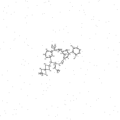 Cc1cccc(C)c1-c1cc2nc(n1)NS(=O)(=O)c1cccc(c1)C(C1CC3(CNC3)C1)[C@H](CC(C)C)CO2